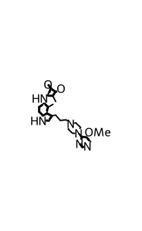 COc1cncnc1N1CCN(CCCc2c[nH]c3ccc(Nc4c(C)c(=O)c4=O)c(C)c23)CC1